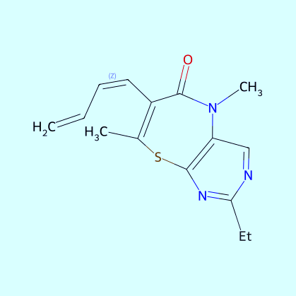 C=C/C=C\C1=C(C)Sc2nc(CC)ncc2N(C)C1=O